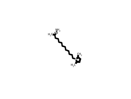 C=C(CCCCCCCCCCCn1c(=C)ccc1=C)NN